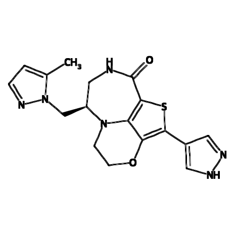 Cc1ccnn1C[C@H]1CNC(=O)c2sc(-c3cn[nH]c3)c3c2N1CCO3